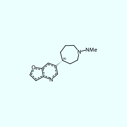 CNN1CCC[C@@H](c2cnc3ccoc3c2)CC1